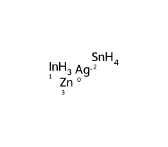 [Ag].[InH3].[SnH4].[Zn]